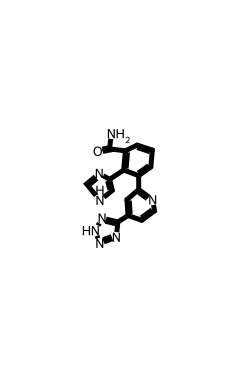 NC(=O)c1cccc(-c2cc(-c3nn[nH]n3)ccn2)c1-c1c[nH]cn1